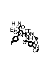 CCOc1c(CC(N)=O)cc([C@@](O)(CNC(=O)c2ccc(-c3ncco3)c(OC3CC3)c2)C(F)(F)F)nc1-c1ccc(F)cc1